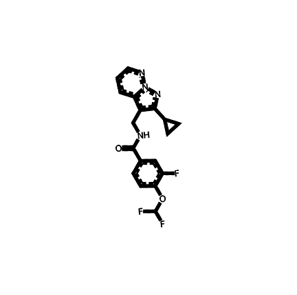 O=C(NCc1c(C2CC2)nn2ncccc12)c1ccc(OC(F)F)c(F)c1